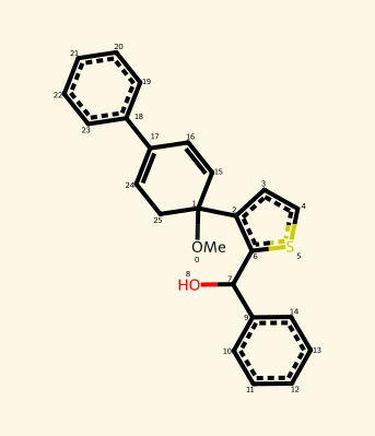 COC1(c2ccsc2C(O)c2ccccc2)C=CC(c2ccccc2)=CC1